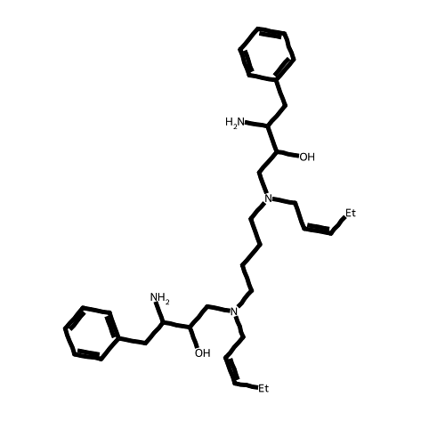 CC/C=C\CN(CCCCN(C/C=C\CC)CC(O)C(N)Cc1ccccc1)CC(O)C(N)Cc1ccccc1